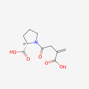 C=C(CC(=O)N1CCC[C@H]1C(=O)O)C(=O)O